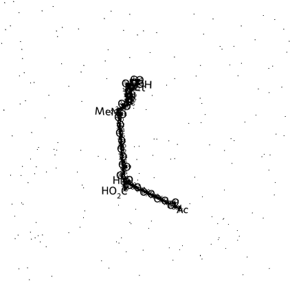 CC[C@@]1(O)C(=O)OCc2c1cc1n(c2=O)Cc2cc3cc(OC(=O)CCC(NC)C(=O)OCCOCCOCCOCCOCCOCCOC(=O)CCC(=O)CNC(CCC(=O)O)C(=O)OCCOCCOCCOCCOCCOCCOC(=O)CCC(C)=O)ccc3nc2-1